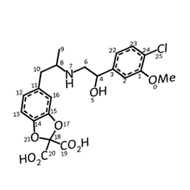 COc1cc(C(O)CNC(C)Cc2ccc3c(c2)OC(C(=O)O)(C(=O)O)O3)ccc1Cl